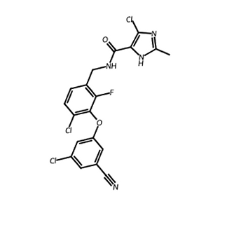 Cc1nc(Cl)c(C(=O)NCc2ccc(Cl)c(Oc3cc(Cl)cc(C#N)c3)c2F)[nH]1